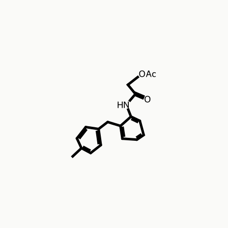 CC(=O)OCC(=O)Nc1ccccc1Cc1ccc(C)cc1